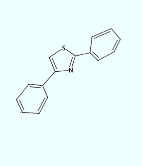 [c]1ccc(-c2csc(-c3ccccc3)n2)cc1